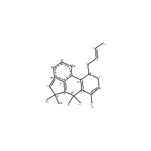 CC=CCC1CC=C(F)C2=C1c1nccc3c1=C(C(C)(C)C=3)C2(C)C